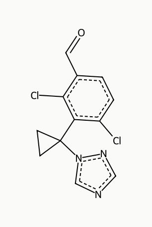 O=Cc1ccc(Cl)c(C2(n3cncn3)CC2)c1Cl